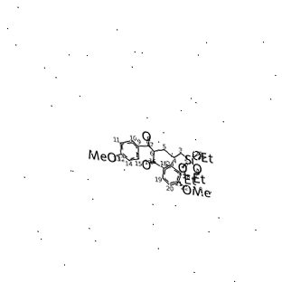 CCO[Si](CCCC(C(=O)c1ccc(OC)cc1)C(=O)c1ccc(OC)cc1)(OCC)OCC